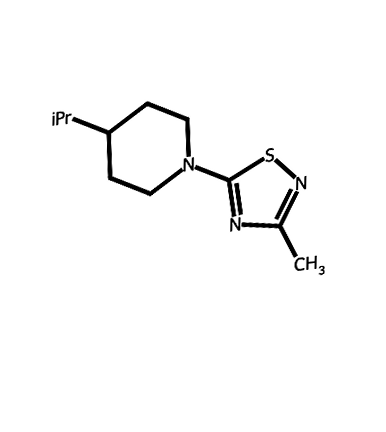 Cc1nsc(N2CCC(C(C)C)CC2)n1